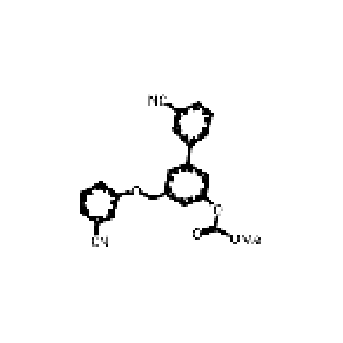 COC(=O)Oc1cc(COc2cccc(C#N)c2)cc(-c2cccc(C#N)c2)c1